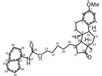 COc1ccc2c(c1)CC[C@@H]1[C@@H]2CC[C@]2(C)C(=O)CC(CCCCCOC(=O)Nc3cccc4ccccc34)[C@@H]12